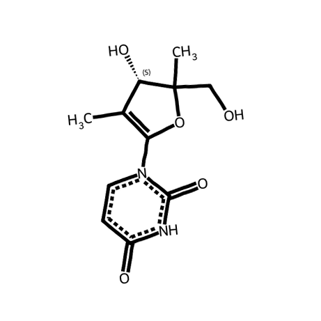 CC1=C(n2ccc(=O)[nH]c2=O)OC(C)(CO)[C@H]1O